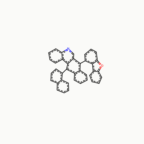 c1ccc2c(-c3c4ccccc4c(-c4cccc5oc6ccccc6c45)c4cnc5ccccc5c34)cccc2c1